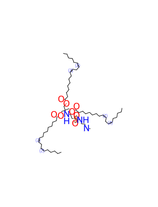 CCCCC/C=C\C/C=C\CCCCCCCC(=O)OCC(COC(=O)CCCCCCC/C=C\C/C=C\CCCCC)(COC(=O)CCCCCCC/C=C\C/C=C\CCCCC)NCCS(=O)(=O)NCCN(C)C